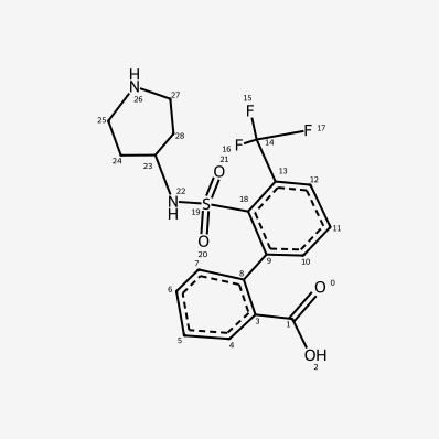 O=C(O)c1ccccc1-c1cccc(C(F)(F)F)c1S(=O)(=O)NC1CCNCC1